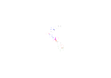 Cc1cc2c(cn1)C(=O)N1CCN(S(=O)(=O)c3ccc(OC(F)(F)F)cc3)CC21